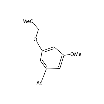 COCOc1cc(OC)cc(C(C)=O)c1